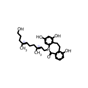 C/C(=C\CN1C(=O)c2cccc(O)c2CCc2c(O)cc(O)cc21)CC/C=C(\C)CCCO